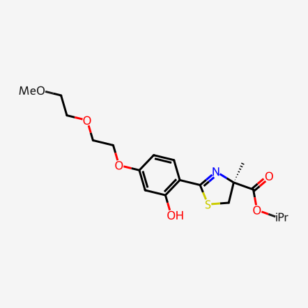 COCCOCCOc1ccc(C2=N[C@@](C)(C(=O)OC(C)C)CS2)c(O)c1